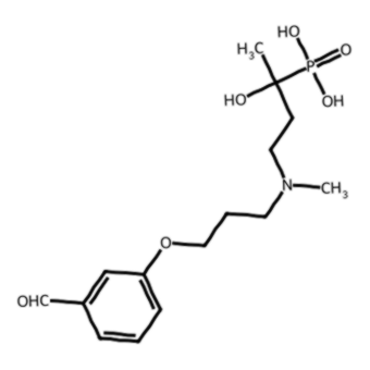 CN(CCCOc1cccc(C=O)c1)CCC(C)(O)P(=O)(O)O